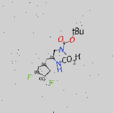 CN(C[C@H](C[C@H]1C[C@@H](F)[C@@H](F)C1)NC(=O)O)C(=O)OC(C)(C)C